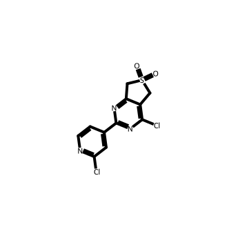 O=S1(=O)Cc2nc(-c3ccnc(Cl)c3)nc(Cl)c2C1